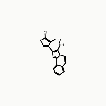 CCNc1c(-c2csc(Cl)c2C)nc2c3ccccc3ccn12